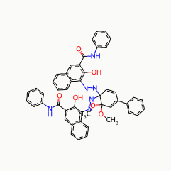 COC1(OC)C=C(c2ccccc2)C=CC1(N=Nc1c(O)c(C(=O)Nc2ccccc2)cc2ccccc12)N=Nc1c(O)c(C(=O)Nc2ccccc2)cc2ccccc12